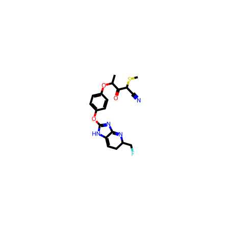 CSC(C#N)C(=O)C(C)Oc1ccc(Oc2nc3c([nH]2)=CCC(CF)N=3)cc1